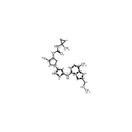 CC1(NC(=O)O[C@H]2C[C@@H](c3cc(Nc4ncc(C(F)(F)F)c5nc(COC(F)(F)F)cn45)n[nH]3)C[C@H]2F)CC1